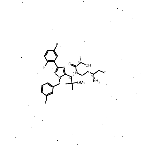 COC(C)(C)[C@H](c1nc(-c2cc(F)ccc2F)nn1Cc1cccc(F)c1)N(CC[C@H](N)CF)C(=O)[C@H](C)O